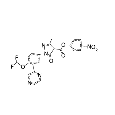 CC1=NN(c2ccc(OC(F)F)c(-c3cnccn3)c2)C(=O)C1C(=O)Oc1ccc([N+](=O)[O-])cc1